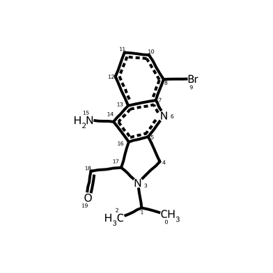 CC(C)N1Cc2nc3c(Br)cccc3c(N)c2C1C=O